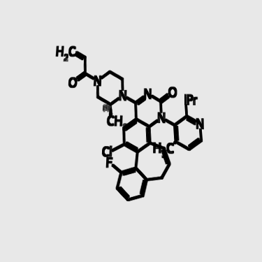 C=CC(=O)N1CCN(c2nc(=O)n(-c3c(C)ccnc3C(C)C)c3c4c(c(Cl)cc23)-c2c(F)cccc2CC=C4)[C@@H](C)C1